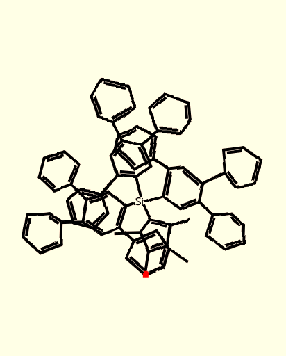 CC1=C(C)C(C)C([Si](c2cc(-c3ccccc3)c(-c3ccccc3)cc2-c2ccccc2)(c2cc(-c3ccccc3)c(-c3ccccc3)cc2-c2ccccc2)c2cc(-c3ccccc3)c(-c3ccccc3)cc2-c2ccccc2)=C1C